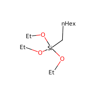 CCCCCCC[Si](OCC)(OCC)OCC